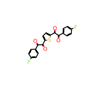 O=C(C(=O)c1ccc(C(=O)C(=O)c2ccc(F)cc2)s1)c1ccc(F)cc1